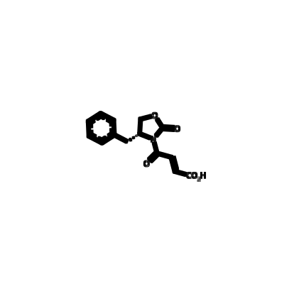 O=C(O)C=CC(=O)N1C(=O)OC[C@H]1Cc1ccccc1